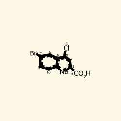 O=C(O)c1cc(Cl)c2cc(Br)ccc2n1